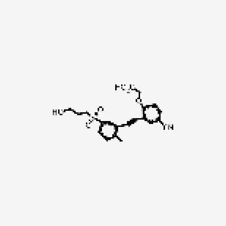 Cc1ccc(S(=O)(=O)CCCO)cc1C#Cc1cc(C#N)ccc1OCC(=O)O